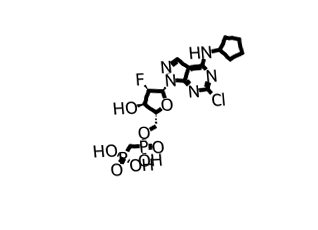 O=P(O)(O)CP(=O)(O)OC[C@H]1O[C@@H](n2ncc3c(NC4CCCC4)nc(Cl)nc32)[C@@H](F)[C@@H]1O